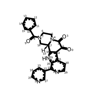 O=C1C(=O)N2CCN(C(=O)c3ccccc3)C[C@H]2c2[nH]c3c(-c4cccnc4)nccc3c21